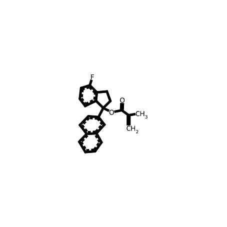 C=C(C)C(=O)OC1(c2ccc3ccccc3c2)CCc2c(F)cccc21